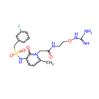 Cc1ccc(NS(=O)(=O)Cc2cccc(F)c2)c(=O)n1CC(=O)NCCONC(=N)N